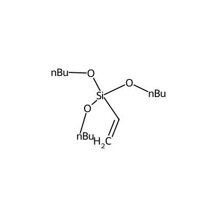 C=C[Si](OCCCC)(OCCCC)OCCCC